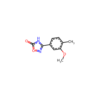 COc1cc(-c2noc(=O)[nH]2)ccc1C